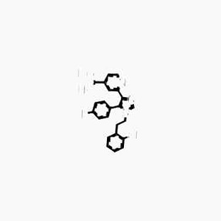 OC(O)c1ccnc(-c2ncn(CCc3ccccc3Cl)c2-c2ccc(F)cc2)c1